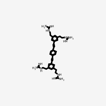 N=C(N)NCCc1cc(C#Cc2ccc(C#Cc3cc(CCNC(=N)N)cc(CCNC(=N)N)c3)cc2)cc(CCNC(=N)N)c1